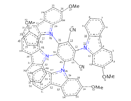 COc1ccc2c3ccccc3n(-c3c(C#N)c(-n4c5ccccc5c5ccc(OC)cc54)c(-n4c5ccccc5c5ccc(OC)cc54)c(-n4c5ccccc5c5ccc(OC)cc54)c3C#N)c2c1